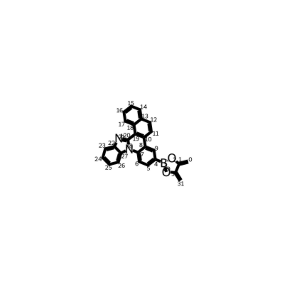 C=C1OB(c2ccc3c(c2)c2ccc4ccccc4c2c2nc4ccccc4n32)OC1=C